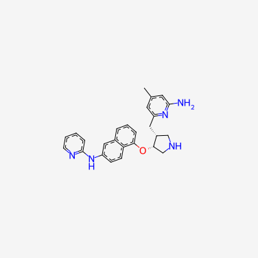 Cc1cc(N)nc(C[C@@H]2CNC[C@@H]2Oc2cccc3cc(Nc4ccccn4)ccc23)c1